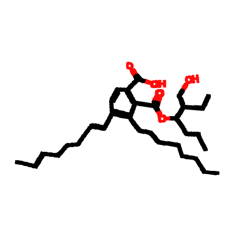 CCCCCCCCc1ccc(C(=O)O)c(C(=O)OC(CCC)C(CC)CO)c1CCCCCCCC